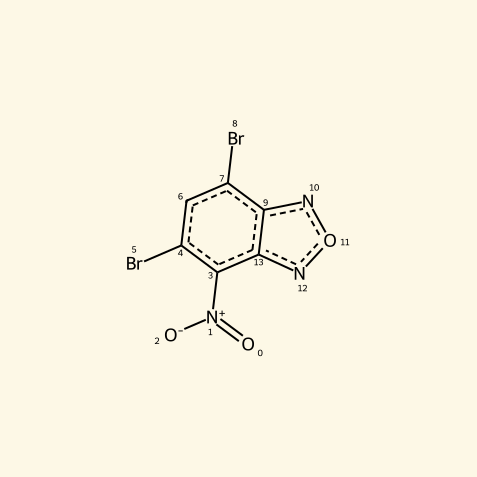 O=[N+]([O-])c1c(Br)cc(Br)c2nonc12